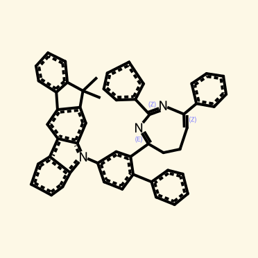 CC1(C)c2ccccc2-c2cc3c4ccccc4n(-c4ccc(-c5ccccc5)c(/C5=N/C(c6ccccc6)=N\C(c6ccccc6)=C/CC5)c4)c3cc21